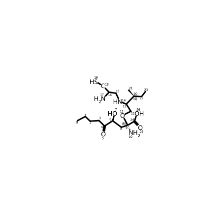 CCCCC(=O)C(O)C[C@@](N)(OCC(NCC(N)CS)[C@@H](C)CC)C(=O)O